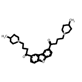 CC1CCN(CCCC(=O)c2ccc3oc4ccc(C(=O)CCCN5CCC(C)CC5)cc4c3c2)CC1